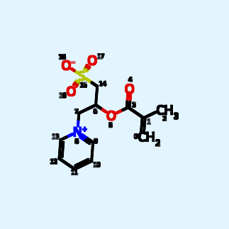 C=C(C)C(=O)OC(C[n+]1ccccc1)CS(=O)(=O)[O-]